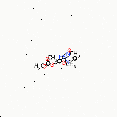 COc1cc(OC)cc(OCCc2ccc(C3=C(C(=O)N(C)CCc4ccccc4)C4CN(C(C)=O)CC(C3)N4)cc2)c1